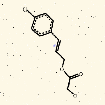 O=C(CCl)OC/C=C/c1ccc(Cl)cc1